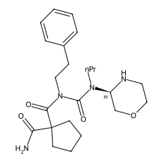 CCCN(C(=O)N(CCc1ccccc1)C(=O)C1(C(N)=O)CCCC1)[C@@H]1COCCN1